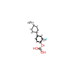 CCCC1CCC(c2ccc(OB(O)O)c(F)c2)CC1